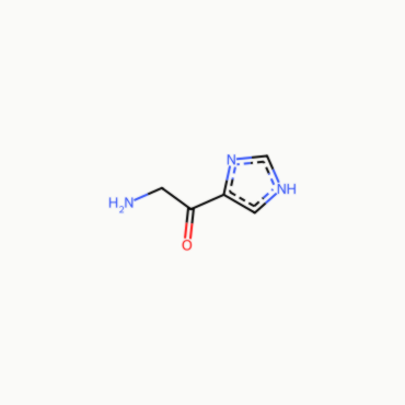 NCC(=O)c1c[nH]cn1